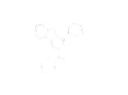 COc1ccc(-c2nc(C(=O)N3CCN(C)CC3)cc3c2[nH]c2ccccc23)cc1